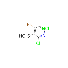 Cl.O=S(=O)(O)c1c(Br)ccnc1Cl